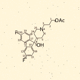 CC(=O)OCCCN1CCC(C(O)(c2ccc(F)cc2)c2ccc(F)cc2)CC1